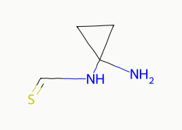 NC1(NC=S)CC1